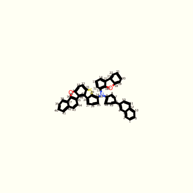 c1ccc2cc(-c3ccc(N(c4cccc5c4oc4ccccc45)c4cccc5c4sc4ccc6oc7c8ccccc8ccc7c6c45)cc3)ccc2c1